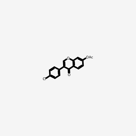 CC(=O)Oc1ccc2c(=O)c(-c3ccc(Cl)cc3)coc2c1